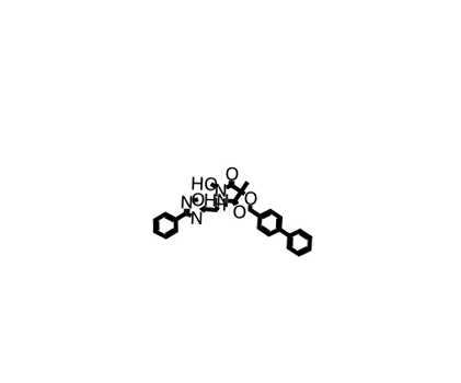 CC(OCc1ccc(-c2ccccc2)cc1)(C(=O)NO)C(=O)NCc1nc(-c2ccccc2)no1